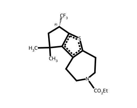 CCOC(=O)N1CCc2sc3c(c2CC1)C(C)(C)C[C@@H]3C(F)(F)F